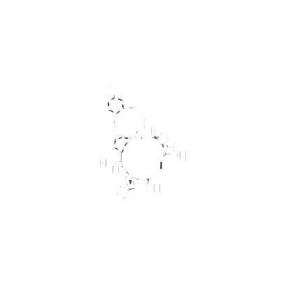 C[C@@H]1C/C=C/[C@H](O)[C@@H]2CC[C@H]2CN2CCCCc3cc(Cl)ccc3COc3ccc(cc32)C(O)NS(=O)(=O)[C@H]1CC1CCC1